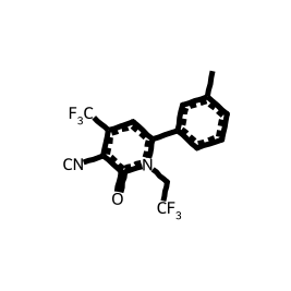 [C-]#[N+]c1c(C(F)(F)F)cc(-c2cccc(C)c2)n(CC(F)(F)F)c1=O